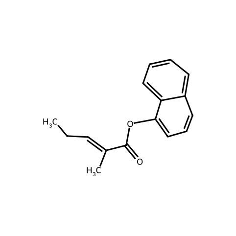 CCC=C(C)C(=O)Oc1cccc2ccccc12